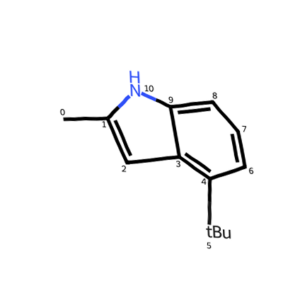 Cc1cc2c(C(C)(C)C)cccc2[nH]1